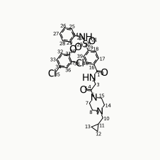 O=C(NCC(=O)N1CCN(CC2CC2)CC1)c1ccc(S(=O)(=O)Nc2ccccc2Oc2ccc(Cl)cc2Cl)cc1